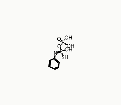 O=P(O)(O)OP(O)(S)=Nc1ccccc1